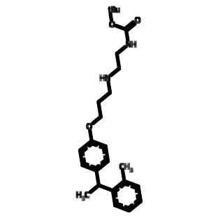 Cc1ccccc1C(C)c1ccc(OCCCNCCNC(=O)OC(C)(C)C)cc1